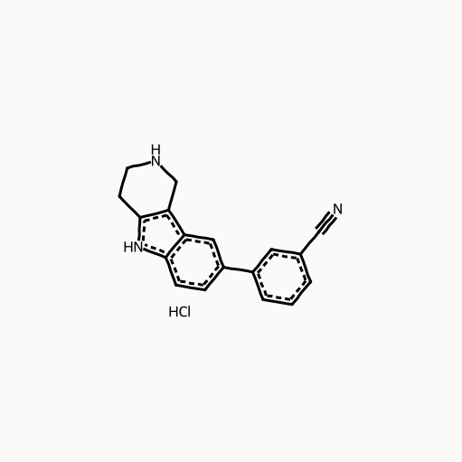 Cl.N#Cc1cccc(-c2ccc3[nH]c4c(c3c2)CNCC4)c1